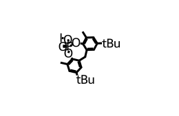 Cc1cc(C(C)(C)C)cc2c1OP(=O)(OI)Oc1c(C)cc(C(C)(C)C)cc1C2